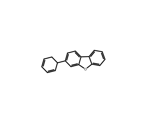 C1=CCC(c2ccc3c(c2)oc2ccccc23)C=C1